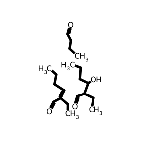 CCCC(O)C(C=O)CC.CCCC=C(C=O)CC.CCCC=O